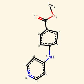 COC(=O)c1ccc(Nc2ccncc2)cc1